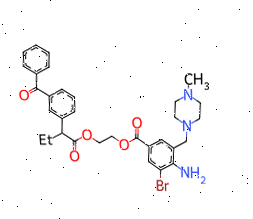 CCC(C(=O)OCCOC(=O)c1cc(Br)c(N)c(CN2CCN(C)CC2)c1)c1cccc(C(=O)c2ccccc2)c1